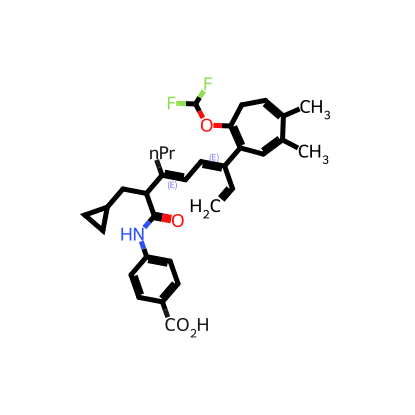 C=C/C(=C\C=C(/CCC)C(CC1CC1)C(=O)Nc1ccc(C(=O)O)cc1)C1=C(OC(F)F)CC=C(C)C(C)=C1